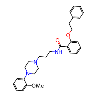 COc1ccccc1N1CCN(CCCNC(=O)c2ccccc2OCCc2ccccc2)CC1